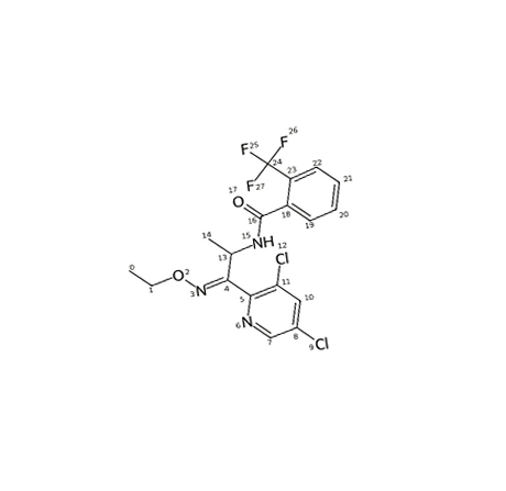 CCON=C(c1ncc(Cl)cc1Cl)C(C)NC(=O)c1ccccc1C(F)(F)F